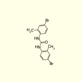 Cc1cc(Br)ccc1NC(=O)Nc1ccc(Br)cc1C